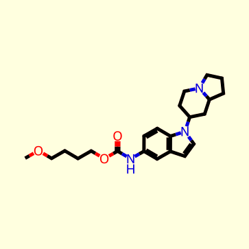 COCCCCOC(=O)Nc1ccc2c(ccn2C2CCN3CCCC3C2)c1